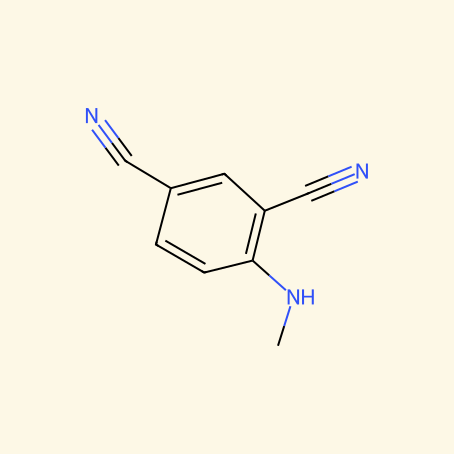 CNc1ccc(C#N)cc1C#N